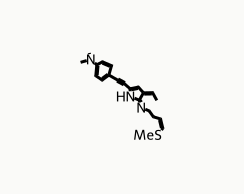 C/C=C1/C=C(C#Cc2ccc(N(C)C)cc2)N/C1=N/CC/C=C\SC